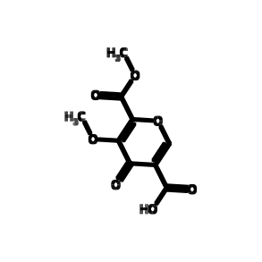 COC(=O)c1occ(C(=O)O)c(=O)c1OC